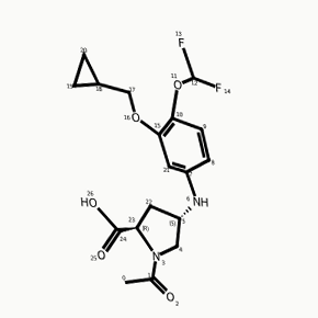 CC(=O)N1C[C@@H](Nc2ccc(OC(F)F)c(OCC3CC3)c2)C[C@@H]1C(=O)O